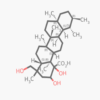 C[C@@H]1[C@H]2[C@H]3CC[C@@H]4[C@]5(C)[C@@H](CC[C@@]4(C)[C@]3(C)CC[C@@]2(C)CC[C@H]1C)C(C)(CO)CC(O)C5(O)C(=O)O